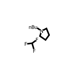 CCCCN1CCCC1.FC(F)F